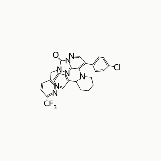 O=c1n(Cc2ccc(C(F)(F)F)nc2)nc2c(N3CCCCC3c3cccnc3)c(-c3ccc(Cl)cc3)cnn12